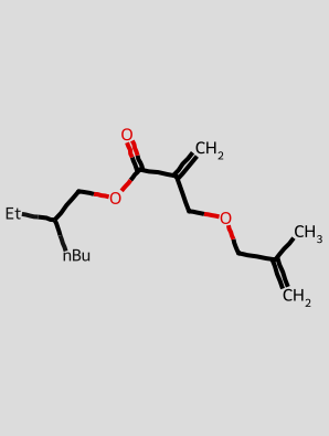 C=C(C)COCC(=C)C(=O)OCC(CC)CCCC